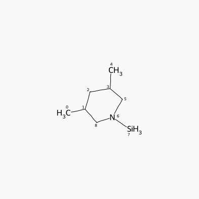 CC1CC(C)CN([SiH3])C1